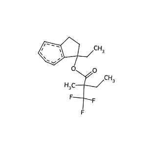 CCC1(OC(=O)C(C)(CC)C(F)(F)F)CCc2ccccc21